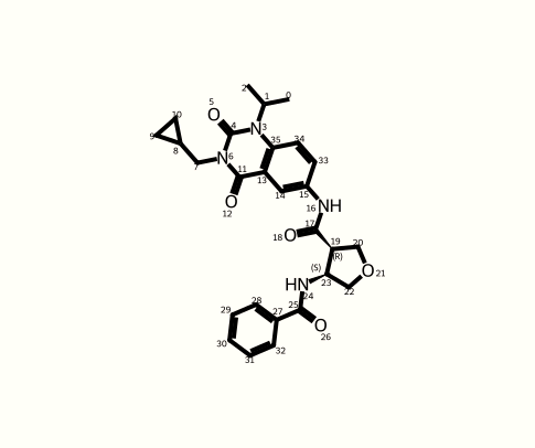 CC(C)n1c(=O)n(CC2CC2)c(=O)c2cc(NC(=O)[C@H]3COC[C@H]3NC(=O)c3ccccc3)ccc21